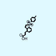 Cc1ccc(S(=O)(=O)n2ccc3c(C=CC(=O)O)cccc32)cc1